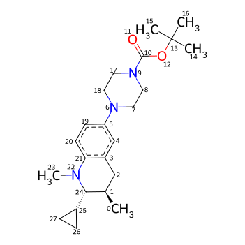 C[C@@H]1Cc2cc(N3CCN(C(=O)OC(C)(C)C)CC3)ccc2N(C)[C@H]1C1CC1